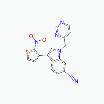 N#Cc1ccc2c(-c3ccsc3[N+](=O)[O-])cn(Cc3ccncn3)c2c1